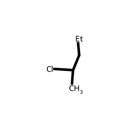 CCCC(C)Cl